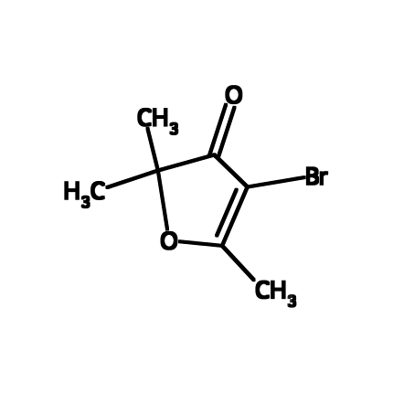 CC1=C(Br)C(=O)C(C)(C)O1